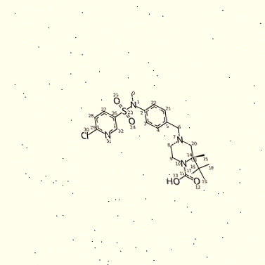 CN(c1ccc(CN2CCN(C(=O)O)[C@@](C)(C(C)(C)C)C2)cc1)S(=O)(=O)c1ccc(Cl)nc1